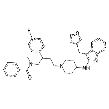 CN(CC(CCN1CCC(Nc2nc3ccccc3n2Cc2ccoc2)CC1)c1ccc(F)cc1)C(=O)c1ccccc1